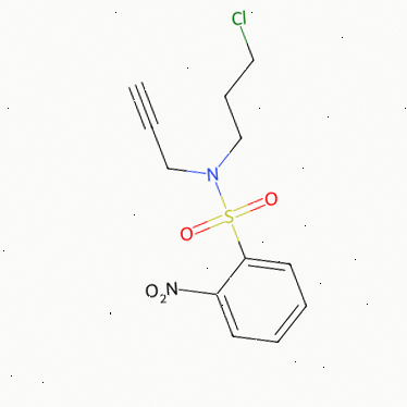 C#CCN(CCCCl)S(=O)(=O)c1ccccc1[N+](=O)[O-]